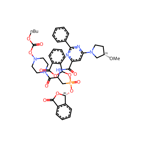 CCCCOC(=O)ON1CCN(C(=O)C(CP(=O)(OC2OC(=O)c3ccccc32)O[C@H]2OC(=O)c3ccccc32)NC(=O)c2cc(N3CC[C@H](OC)C3)nc(-c3ccccc3)n2)CC1